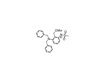 COCc1c(NS(C)(=O)=O)cccc1N(Cc1ccccc1)Cc1ccccc1